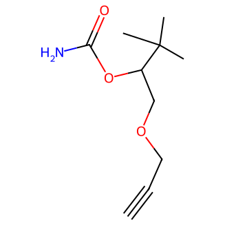 C#CCOCC(OC(N)=O)C(C)(C)C